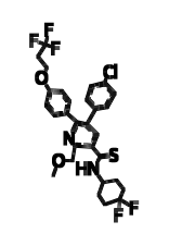 COCc1nc(-c2ccc(OCCC(F)(F)F)cc2)c(-c2ccc(Cl)cc2)cc1C(=S)NC1CCC(F)(F)CC1